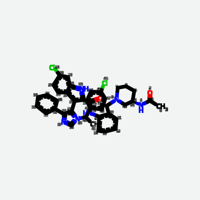 CC(=O)N[C@@H]1CCCN(Cc2ccccc2NC(=O)c2[nH]c3cc(Cl)ccc3c2-c2c(-c3ccccc3)ncn2C(C)c2ccc(Cl)cc2)C1